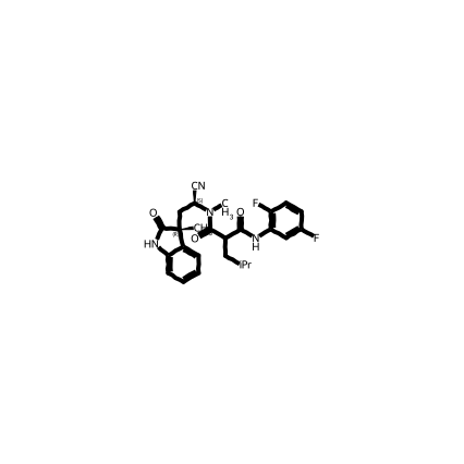 CC(C)CC(C(=O)Nc1cc(F)ccc1F)C(=O)N(C)[C@H](C#N)C[C@@]1(C)C(=O)Nc2ccccc21